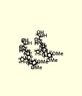 COc1cc(OC)c(F)c(N2Cc3cnc(NC[C@H](O)[C@@H](O)CO)nc3N(C3CCCC3)C2=O)c1.COc1cc(OC)c(F)c(N2Cc3cnc(NC[C@H](O)[C@@H](O)CO)nc3N(C3CCCC3)C2=O)c1